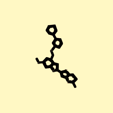 COc1cc(COc2cccc(-c3cc[c]cc3)c2)c2cc(-c3cn4nc(C)ccc4n3)oc2c1